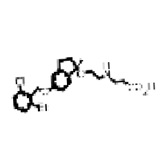 CCc1cccc(Cl)c1COc1ccc2c(c1)CC[C@]2(C)OCCNCCC(=O)O